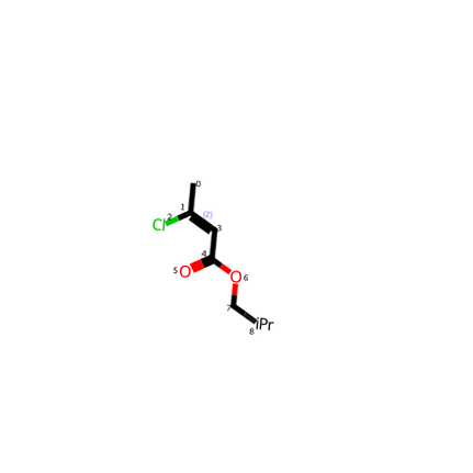 C/C(Cl)=C/C(=O)OCC(C)C